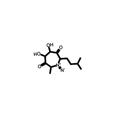 CC(C)CCC1C(=O)C(O)C(O)C(=O)C(C)[N+]1=[N-]